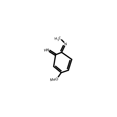 C/N=C1/C=CC(OC)=CC1=N